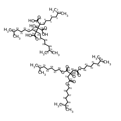 CC(C)CCCCCC(C(=O)O)C(O)(C(=O)O)C(CCCCCC(C)C)(CCCCCC(C)C)C(=O)O.CC(C)CCCCCOC(=O)CC(O)(CC(=O)OCCCCCC(C)C)C(=O)OCCCCCC(C)C